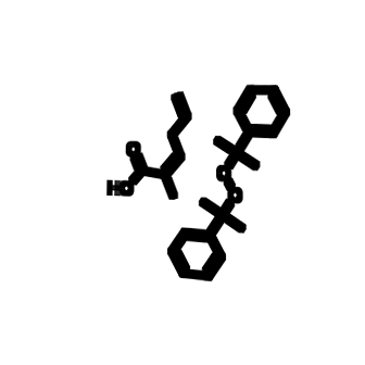 C=CCC=C(C)C(=O)O.CC(C)(OOC(C)(C)c1ccccc1)c1ccccc1